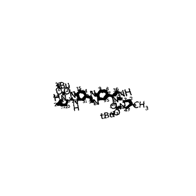 C[C@@H]1C[C@@H](c2nc(-c3ccc4nc(-c5ccc6nc([C@@H]7CC8C[C@H]8N7C(=O)OC(C)(C)C)[nH]c6c5)cnc4c3)c[nH]2)N(C(=O)OC(C)(C)C)C1